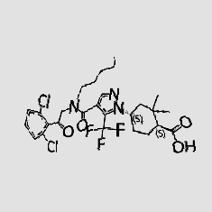 CCCCCN(CC(=O)c1c(Cl)cccc1Cl)C(=O)c1cnn([C@H]2CC[C@H](C(=O)O)C(C)(C)C2)c1C(F)(F)F